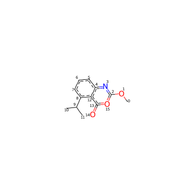 COc1nc2cccc(C(C)C)c2c(=O)o1